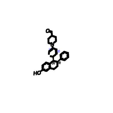 C/C=C(\C=C/C(C)[C@@H]1c2ccc(O)cc2CC[C@@H]1c1ccccc1)N1CCC(C=O)CC1